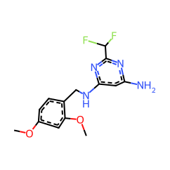 COc1ccc(CNc2cc(N)nc(C(F)F)n2)c(OC)c1